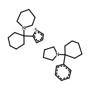 c1ccc(C2(N3CCCC3)CCCCC2)cc1.c1csc(C2(N3CCCCC3)CCCCC2)c1